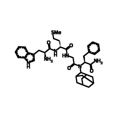 CSCC[C@@H](NC(=O)[C@@H](N)Cc1c[nH]c2ccccc12)C(=O)NCC(=O)N(C1C2CC3CC(C2)CC1C3)[C@@H](Cc1ccccc1)C(N)=O